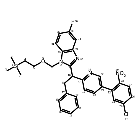 C[Si](C)(C)CCOCn1c(C(Cc2ccccc2)c2ccc(-c3cc(Cl)ccc3[N+](=O)[O-])cn2)nc2cc(F)ccc21